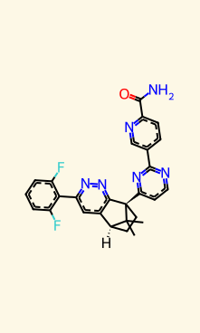 CC1(C)[C@H]2CC[C@@]1(c1ccnc(-c3ccc(C(N)=O)nc3)n1)c1nnc(-c3c(F)cccc3F)cc12